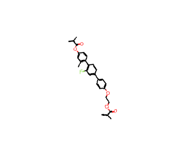 C=C(C)C(=O)OCCOc1ccc(-c2ccc(-c3ccc(OC(=O)C(=C)C)cc3C)c(F)c2)cc1